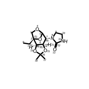 CC[C@@]12COC(O1)[C@H](N1CCNC1=O)[C@H]1OC(C)(C)O[C@H]12